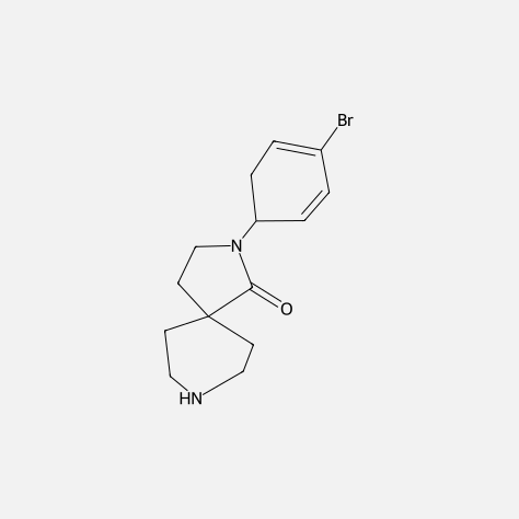 O=C1N(C2C=CC(Br)=CC2)CCC12CCNCC2